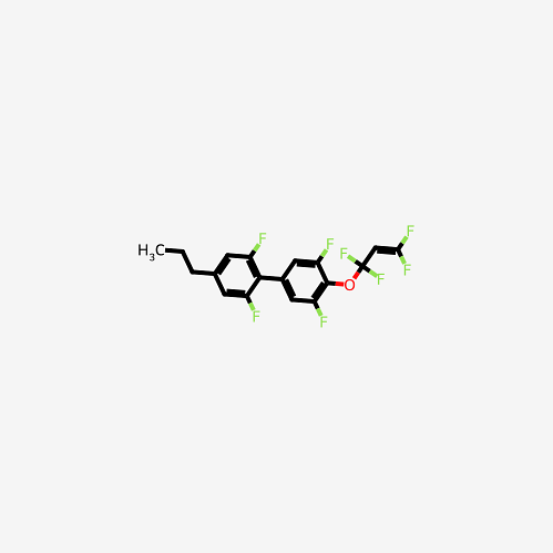 CCCc1cc(F)c(-c2cc(F)c(OC(F)(F)C=C(F)F)c(F)c2)c(F)c1